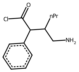 CCCC(CN)C(C(=O)Cl)c1ccccc1